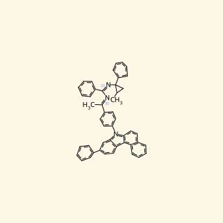 C/C(=N\C(=N/C1(c2ccccc2)CC1C)c1ccccc1)c1ccc(-n2c3cc(-c4ccccc4)ccc3c3c4ccccc4ccc32)cc1